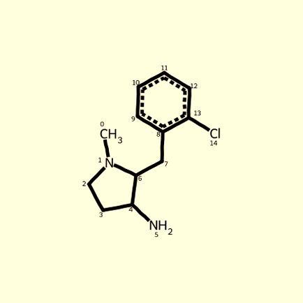 CN1CCC(N)C1Cc1ccccc1Cl